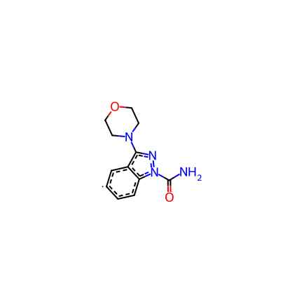 NC(=O)n1nc(N2CCOCC2)c2c[c]ccc21